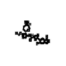 Cn1ncc(NC(=O)c2csc(-c3cc4[nH]ncc4cc3F)n2)c1[C@@H]1CC[C@@H](N)CCO1